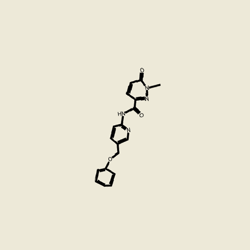 Cn1nc(C(=O)Nc2ccc(COc3ccccc3)cn2)ccc1=O